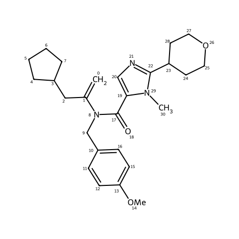 C=C(CC1CCCC1)N(Cc1ccc(OC)cc1)C(=O)c1cnc(C2CCOCC2)n1C